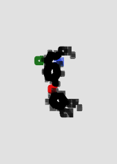 Cc1cc(Cl)c2ccc(COc3ccc(C#N)c(C(F)(F)F)c3)cc2n1